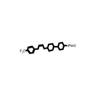 CCCCCC1CCC(C2CCC(C/C=C\Cc3ccc(C(F)(F)F)cc3)CC2)CC1